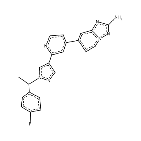 CC(c1ccc(F)cc1)n1cc(-c2cc(-c3ccn4nc(N)nc4c3)ccn2)cn1